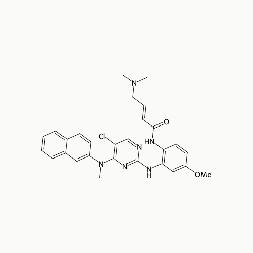 COc1ccc(NC(=O)/C=C/CN(C)C)c(Nc2ncc(Cl)c(N(C)c3ccc4ccccc4c3)n2)c1